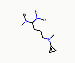 CCN(CC)C(CCCN(C)C1=CC1)N(CC)CC